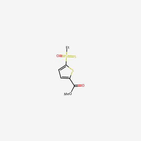 CCS(=O)(=S)c1ccc(C(=O)OC)s1